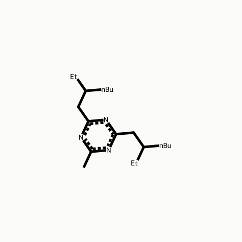 CCCCC(CC)Cc1nc(C)nc(CC(CC)CCCC)n1